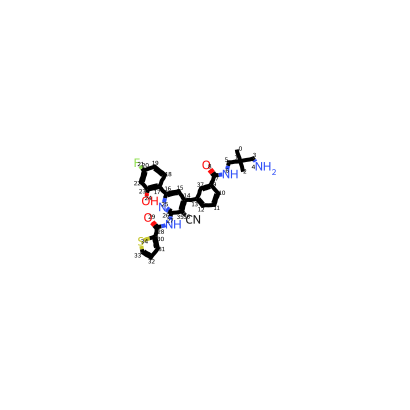 CC(C)(CN)CNC(=O)c1cccc(-c2cc(-c3ccc(F)cc3O)nc(NC(=O)c3cccs3)c2C#N)c1